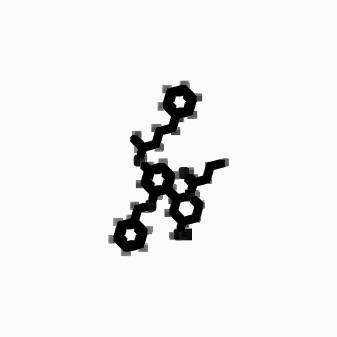 CCCC(=O)N1CCC(O)CC1c1ccc(OC(C)CCCc2ccccc2)cc1OCc1ccccc1